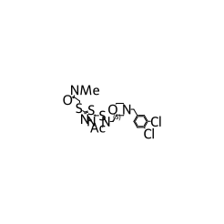 CNC(=O)CSc1nnc(SN(C[C@@H]2CN(Cc3ccc(Cl)c(Cl)c3)CCO2)C(C)=O)s1